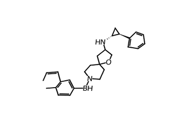 C/C=C\c1cc(BN2CCC3(CC2)CC(N[C@@H]2C[C@H]2c2ccccc2)CO3)ccc1C